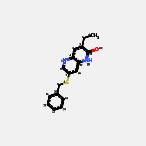 CCc1cc2ncc(SCc3ccccc3)cc2[nH]c1=O